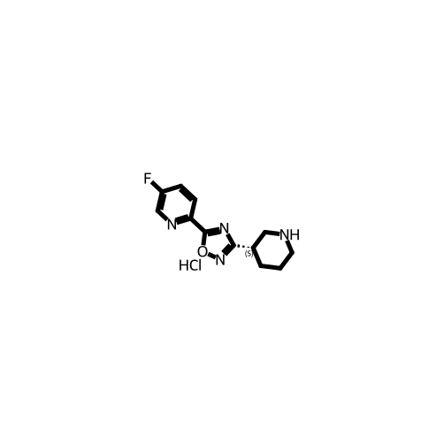 Cl.Fc1ccc(-c2nc([C@H]3CCCNC3)no2)nc1